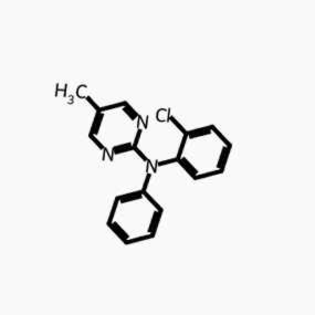 Cc1cnc(N(c2ccccc2)c2ccccc2Cl)nc1